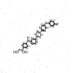 OC[C@@H](O)c1ccc(Nc2ncnc(N3CCN(c4ncc(Cc5ccc(F)cc5)cn4)CC3)n2)cc1